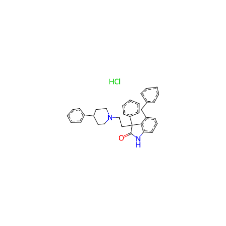 Cl.O=C1Nc2cccc(Cc3ccccc3)c2C1(CCN1CCC(c2ccccc2)CC1)c1ccccc1